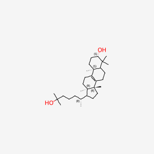 C[C@H](CCCC(C)(C)O)C1CC[C@@]2(C)C3=C(CC[C@]12C)[C@@]1(C)CC[C@H](O)C(C)(C)C1CC3